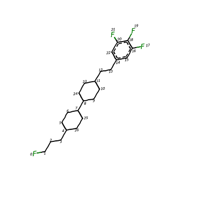 FCCCC1CCC(C2CCC(CCc3cc(F)c(F)c(F)c3)CC2)CC1